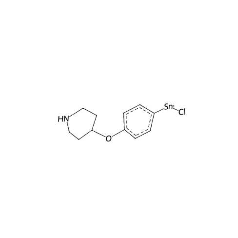 [Cl][Sn][c]1ccc(OC2CCNCC2)cc1